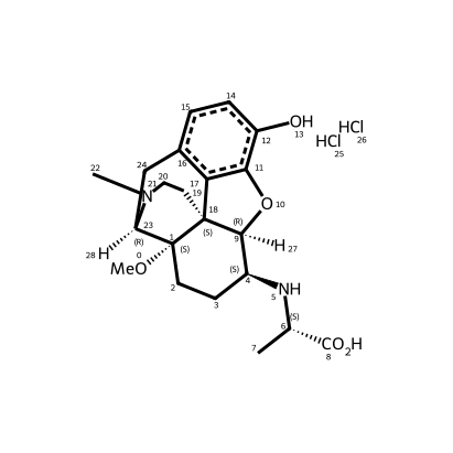 CO[C@@]12CC[C@H](N[C@@H](C)C(=O)O)[C@@H]3Oc4c(O)ccc5c4[C@@]31CCN(C)[C@@H]2C5.Cl.Cl